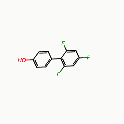 Oc1ccc(-c2c(F)cc(F)cc2F)cc1